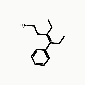 CCC(CCN)=C(CC)c1ccccc1